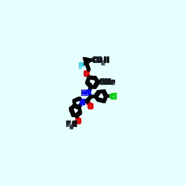 COc1cc(NC(C(=O)N2CCc3ccc(OC(F)(F)F)cc32)c2ccc(Cl)cc2)cc(OCC2(F)CC2C(=O)O)c1